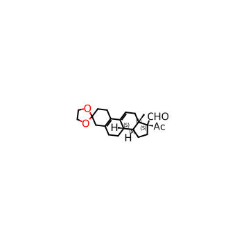 CC(=O)[C@@]1(C=O)CC[C@H]2[C@@H]3CCC4=C(CCC5(C4)OCCO5)C3=CC[C@@]21C